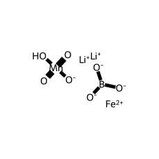 [Fe+2].[Li+].[Li+].[O-]B([O-])[O-].[O]=[Mn](=[O])([O-])[OH]